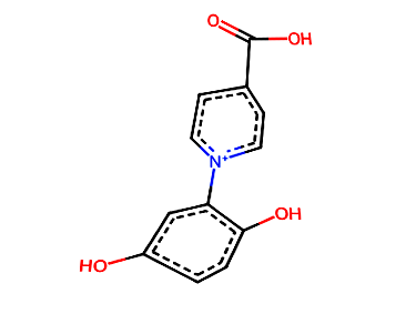 O=C(O)c1cc[n+](-c2cc(O)ccc2O)cc1